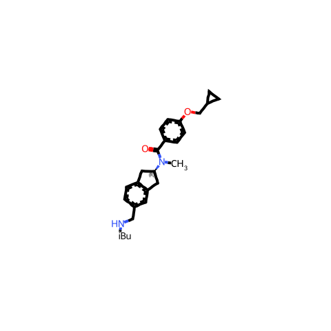 CCC(C)NCc1ccc2c(c1)C[C@H](N(C)C(=O)c1ccc(OCC3CC3)cc1)C2